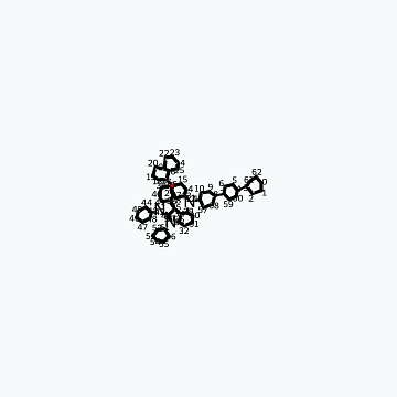 c1ccc(-c2ccc(-c3ccc(N(c4ccc(-c5cccc6ccccc56)cc4)c4cccc5c4c4c6ccccc6n(-c6ccccc6)c4n5-c4ccccc4)cc3)cc2)cc1